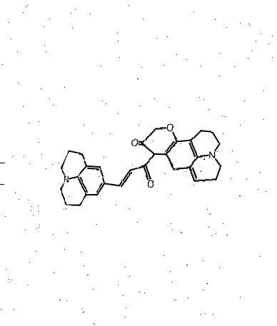 O=C(C=Cc1cc2c3c(c1)CCCN3CCC2)C1C(=O)COC2=C1CC1=CCCN3CCCC2=C13